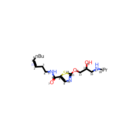 CCCC/C=C\CCNC(=O)c1cnc(OCC(O)CNC(C)C)s1